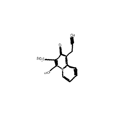 C#CCc1c(=O)c(C(=O)OCC)c(O)n2ccccc12